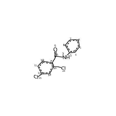 O=C(Nc1ccccc1)c1ccc(Cl)cc1Cl